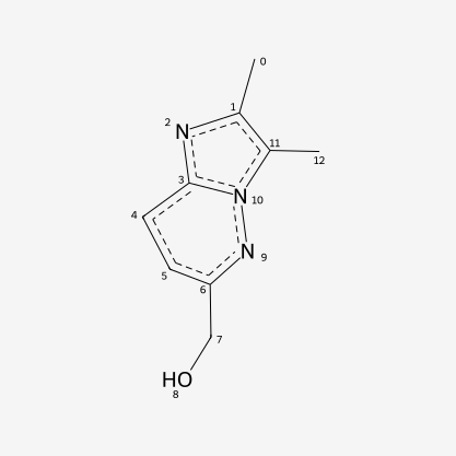 Cc1nc2ccc(CO)nn2c1C